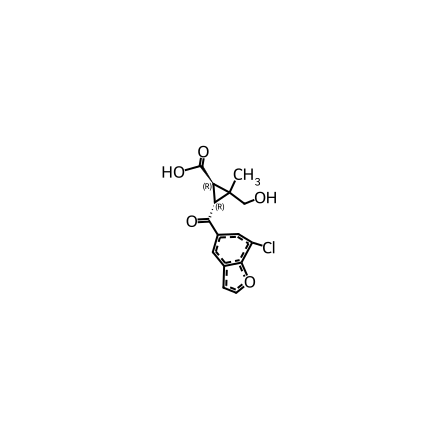 CC1(CO)[C@H](C(=O)O)[C@H]1C(=O)c1cc(Cl)c2occc2c1